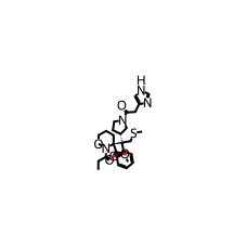 CCC(=O)N1OCCC[C@@]1(C(=O)OC)C(CSC)(c1ccccc1)[C@@H]1CCN(C(=O)Cc2c[nH]cn2)C1